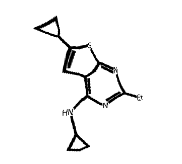 CCc1nc(NC2CC2)c2cc(C3CC3)sc2n1